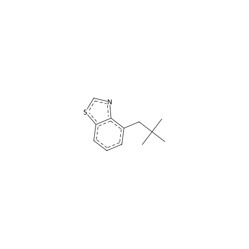 CC(C)(C)Cc1cccc2scnc12